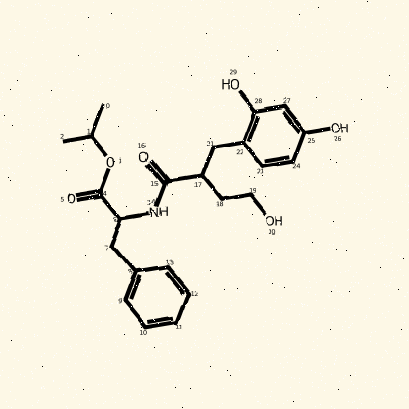 CC(C)OC(=O)C(Cc1ccccc1)NC(=O)C(CCO)Cc1ccc(O)cc1O